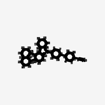 N#Cc1ccc(-c2ccc(-n3c4ccccc4c4c5c(ccc43)-c3cccc4cccc-5c34)cc2)cc1